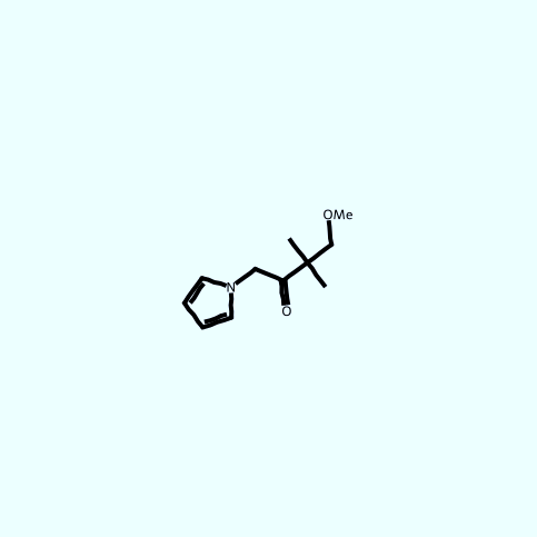 COCC(C)(C)C(=O)Cn1cccc1